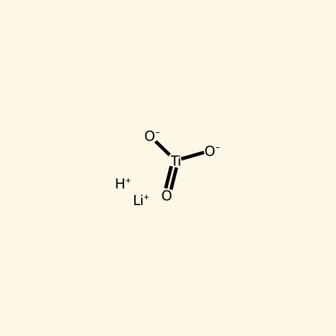 [H+].[Li+].[O]=[Ti]([O-])[O-]